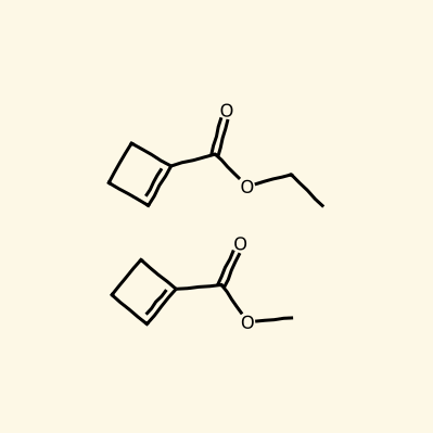 CCOC(=O)C1=CCC1.COC(=O)C1=CCC1